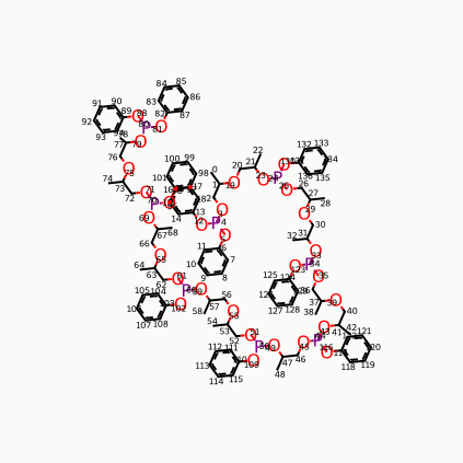 CC(COP(Oc1ccccc1)Oc1ccccc1)OCC(C)OP(OCC(C)OCC(C)OP(OCC(C)OCC(C)OP(OCC(C)OP(OCC(C)OCC(C)OP(OCC(C)OCC(C)OP(OCC(C)OCC(C)OP(Oc1ccccc1)Oc1ccccc1)Oc1ccccc1)Oc1ccccc1)Oc1ccccc1)Oc1ccccc1)Oc1ccccc1)Oc1ccccc1